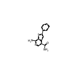 NC(=O)c1cnc(N)c2sc(-c3ccccc3)cc12